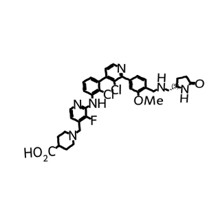 COc1cc(-c2nccc(-c3cccc(Nc4nccc(CN5CCC(C(=O)O)CC5)c4F)c3Cl)c2Cl)ccc1CNC[C@@H]1CCC(=O)N1